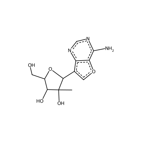 CC1(O)C(c2coc3c(N)ncnc23)OC(CO)C1O